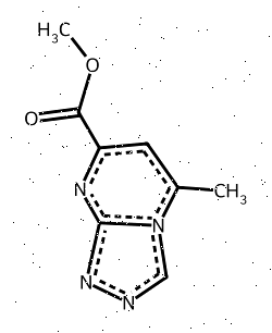 COC(=O)c1cc(C)n2cnnc2n1